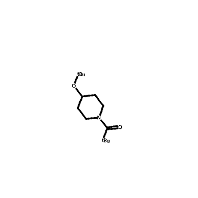 CC(C)(C)OC1CCN(C(=O)C(C)(C)C)CC1